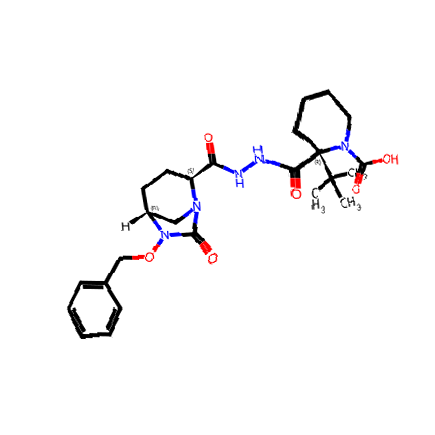 CC(C)(C)[C@@]1(C(=O)NNC(=O)[C@@H]2CC[C@@H]3CN2C(=O)N3OCc2ccccc2)CCCCN1C(=O)O